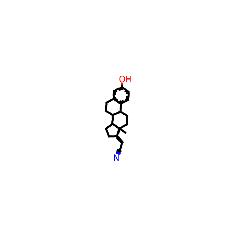 CC12CCC3c4ccc(O)cc4CCC3C1CC/C2=C\C#N